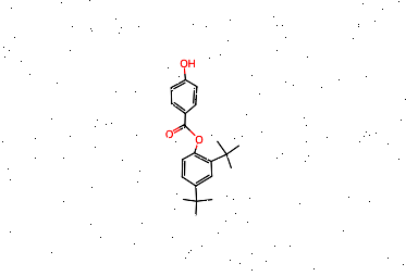 CC(C)(C)c1ccc(OC(=O)c2ccc(O)cc2)c(C(C)(C)C)c1